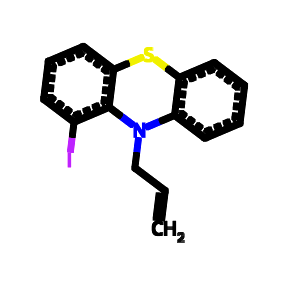 C=CCN1c2ccccc2Sc2cccc(I)c21